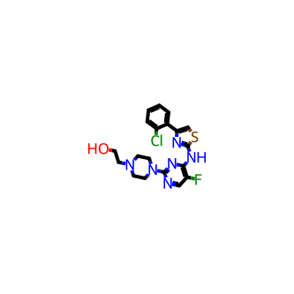 OCCN1CCN(c2ncc(F)c(Nc3nc(-c4ccccc4Cl)cs3)n2)CC1